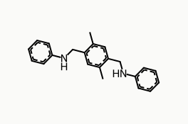 Cc1cc(CNc2ccccc2)c(C)cc1CNc1ccccc1